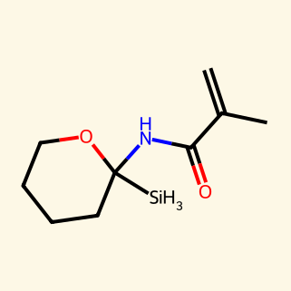 C=C(C)C(=O)NC1([SiH3])CCCCO1